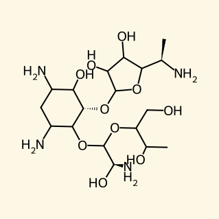 CC(O)C(CO)OC(OC1C(N)CC(N)C(O)[C@@H]1OC1OC([C@@H](C)N)C(O)C1O)[C@@H](N)O